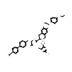 CCOc1ccc([C@H]2COc3cc4c(cc3O2)CN(S(=O)(=O)c2sc(N)nc2C)C(C(=O)N[C@@H](Cc2ccc(-c3ccc(C#N)cc3)cc2)C(=O)O)C4)cc1